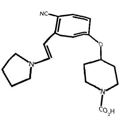 N#Cc1ccc(OC2CCN(C(=O)O)CC2)cc1/C=C/N1CCCC1